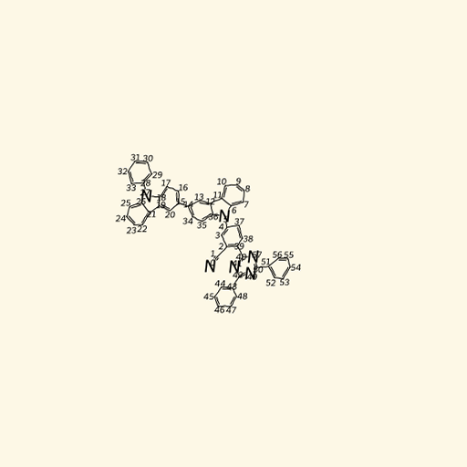 N#Cc1cc(-n2c3ccccc3c3cc(-c4ccc5c(c4)c4ccccc4n5-c4ccccc4)ccc32)ccc1-c1nc(-c2ccccc2)nc(-c2ccccc2)n1